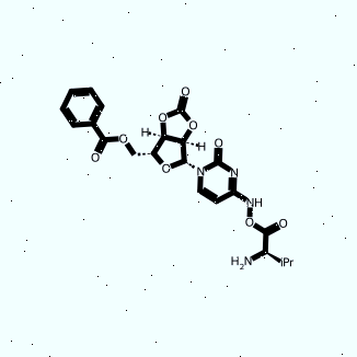 CC(C)[C@@H](N)C(=O)ONc1ccn([C@@H]2O[C@H](COC(=O)c3ccccc3)[C@H]3OC(=O)O[C@H]32)c(=O)n1